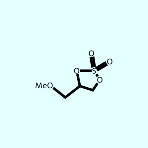 COCC1COS(=O)(=O)O1